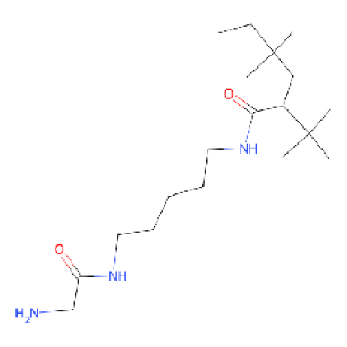 CCC(C)(C)CC(C(=O)NCCCCCNC(=O)CN)C(C)(C)C